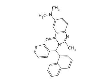 Cc1nc2ccc(N(C)C)cc2c(=O)n1C(c1ccccc1)c1cccc2ccccc12